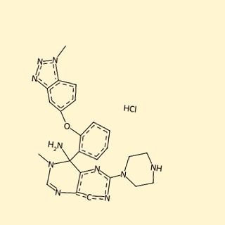 CN1C=Nc2cnc(N3CCNCC3)nc2C1(N)c1ccccc1Oc1ccc2c(c1)nnn2C.Cl